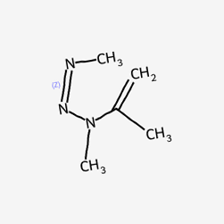 C=C(C)N(C)/N=N\C